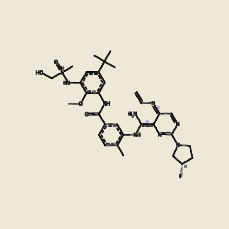 C=C/N=C1/C=NC(N2CC[C@H](F)C2)=N/C1=C(/N)Nc1cc(C(=O)Nc2cc(C(C)(C)C)cc(N[SH](C)(=O)CO)c2OC)ccc1C